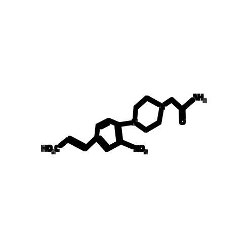 NC(=O)CN1CCN(c2ccc(C=CC(=O)O)cc2[N+](=O)[O-])CC1